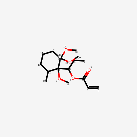 C=CC(=O)OC(CC)C1(OC)C(C)CCC[Si]1(OC)OC